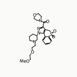 COCCOCCN1CCCC(n2nc(C(=O)N3CCOCC3)c3c2-c2ccccc2S(=O)(=O)C3)C1